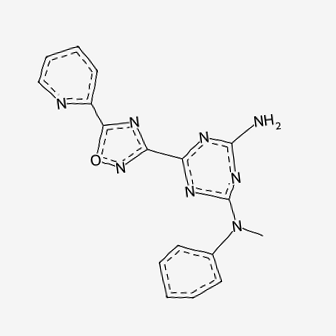 CN(c1ccccc1)c1nc(N)nc(-c2noc(-c3ccccn3)n2)n1